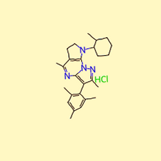 Cc1cc(C)c(-c2c(C)nn3c4c(c(C)nc23)CCN4C2CCCCC2C)c(C)c1.Cl